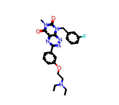 CCN(CC)CCOc1cccc(-c2nnc3c(n2)c(=O)n(C)c(=O)n3Cc2cccc(F)c2)c1